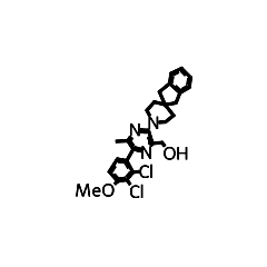 COc1ccc(-c2nc(CO)c(N3CCC4(CC3)Cc3ccccc3C4)nc2C)c(Cl)c1Cl